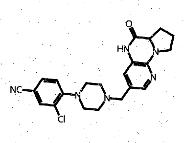 N#Cc1ccc(N2CCN(Cc3cnc4c(c3)NC(=O)C3CCCN43)CC2)c(Cl)c1